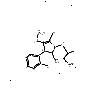 CC(=O)OCC(C)ON1C(C)=C(OS(=O)(=O)O)N(c2ccccc2C)C1[N+](=O)[O-]